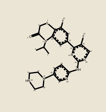 CC(C)N1C(=O)CSc2c(F)cc(-c3nc(Nc4ccc(N5CCNCC5)cn4)ncc3F)cc21